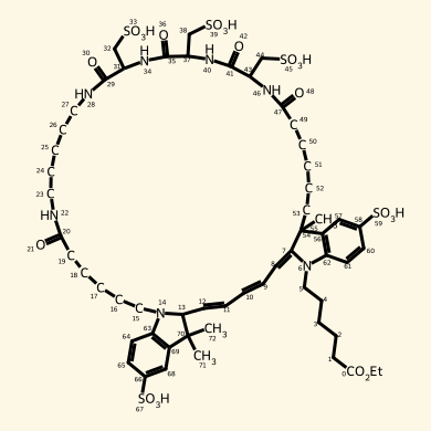 CCOC(=O)CCCCCN1\C2=C/C=C/C=C/C3N(CCCCCC(=O)NCCCCCNC(=O)C(CS(=O)(=O)O)NC(=O)C(CS(=O)(=O)O)NC(=O)C(CS(=O)(=O)O)NC(=O)CCCCCC2(C)c2cc(S(=O)(=O)O)ccc21)c1ccc(S(=O)(=O)O)cc1C3(C)C